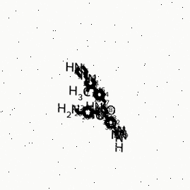 Cc1cc(N2CCNCC2)ncc1-c1ccc(C[C@H](NC(=O)C2CCC(CN)CC2)C(=O)Nc2ccc(-c3nn[nH]n3)cc2)cc1